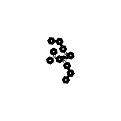 c1ccc(-c2cccc(-c3ccc(-n4c5ccc(N(c6ccccc6)c6ccccc6)cc5c5c4c4ccccc4n5-c4ccc(-c5cccc(-c6ccccc6)c5)cc4)cc3)c2)cc1